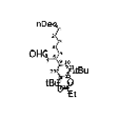 CCCCCCCCCCCCCCCC(CC=O)c1cc(C(C)(C)C)c(OC(=O)CC)c(C(C)(C)C)c1